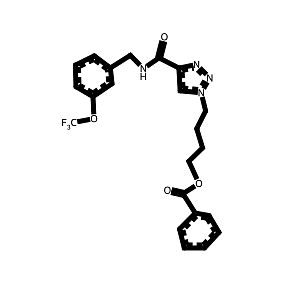 O=C(OCCCCn1cc(C(=O)NCc2cccc(OC(F)(F)F)c2)nn1)c1ccccc1